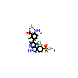 CC(=O)c1c(N)ccc(-c2cnc3c(c2Cl)C2(CCC(S(C)(=O)=O)CC2)CN3)c1F